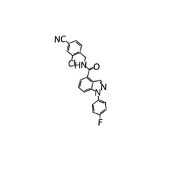 N#Cc1ccc(CNC(=O)c2cccc3c2cnn3-c2ccc(F)cc2)c(Cl)c1